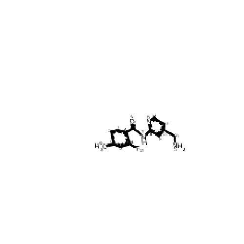 Cc1ccc(C(=O)Nc2cc(CN)ccn2)c(F)c1